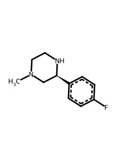 CN1CCN[C@@H](c2ccc(F)cc2)C1